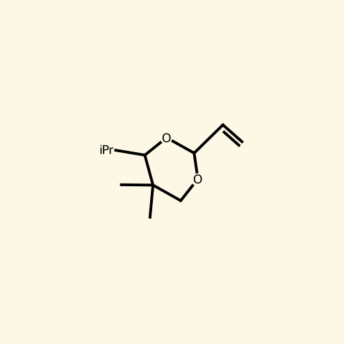 C=CC1OCC(C)(C)C(C(C)C)O1